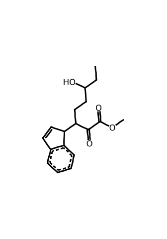 CCC(O)CCC(C(=O)C(=O)OC)C1C=Cc2ccccc21